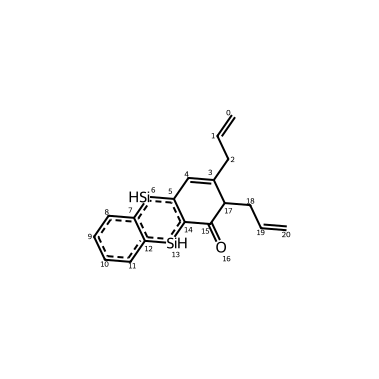 C=CCC1=Cc2[siH]c3ccccc3[siH]c2C(=O)C1CC=C